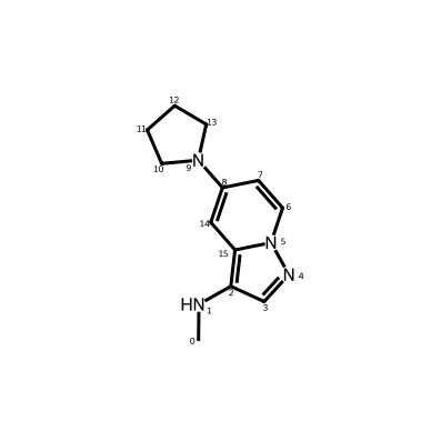 CNc1cnn2ccc(N3CCCC3)cc12